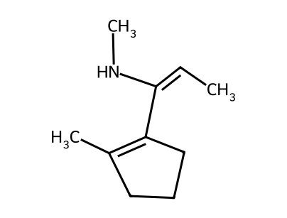 C/C=C(/NC)C1=C(C)CCC1